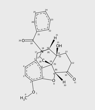 COc1ccc2c3c1O[C@H]1C(=O)CC[C@@]4(O)[C@@H](C2)N(C(=O)c2ccccc2)CC[C@]314